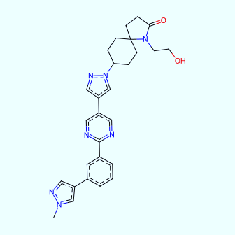 Cn1cc(-c2cccc(-c3ncc(-c4cnn(C5CCC6(CCC(=O)N6CCO)CC5)c4)cn3)c2)cn1